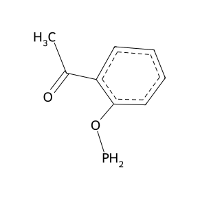 CC(=O)c1ccccc1OP